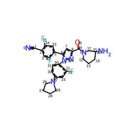 N#Cc1ccc(-c2cc(C(=O)N3CCCC(N)C3)nn2-c2c(F)cc(N3CCCC3)cc2F)cc1F